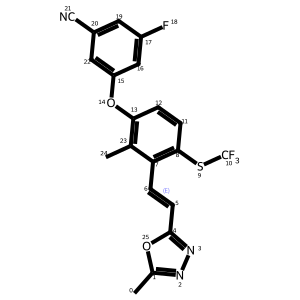 Cc1nnc(/C=C/c2c(SC(F)(F)F)ccc(Oc3cc(F)cc(C#N)c3)c2C)o1